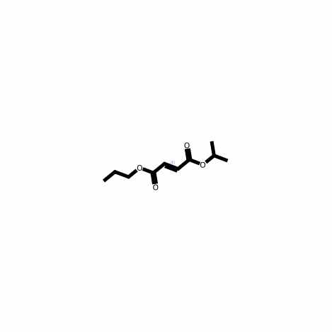 CCCOC(=O)/C=C/C(=O)OC(C)C